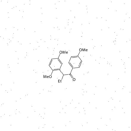 CCC(C(=O)c1ccc(OC)cc1)c1cc(OC)ccc1OC